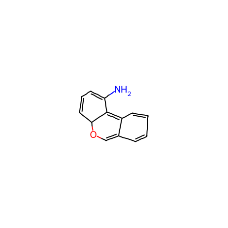 NC1=CC=CC2OC=c3ccccc3=C12